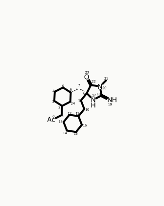 CC(=O)CC1CCC[C@H](C[C@@]2(CCC3CCCCC3)NC(=N)N(C)C2=O)C1